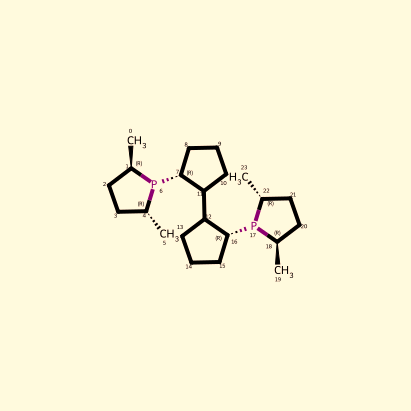 C[C@@H]1CC[C@@H](C)P1[C@@H]1CCCC1C1CCC[C@H]1P1[C@H](C)CC[C@H]1C